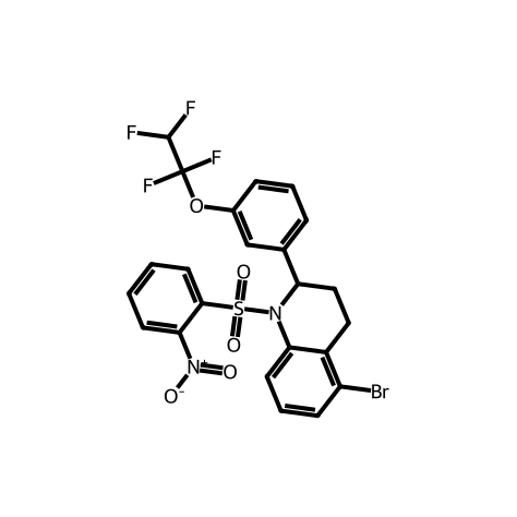 O=[N+]([O-])c1ccccc1S(=O)(=O)N1c2cccc(Br)c2CCC1c1cccc(OC(F)(F)C(F)F)c1